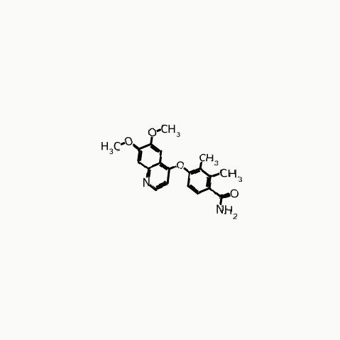 COc1cc2nccc(Oc3ccc(C(N)=O)c(C)c3C)c2cc1OC